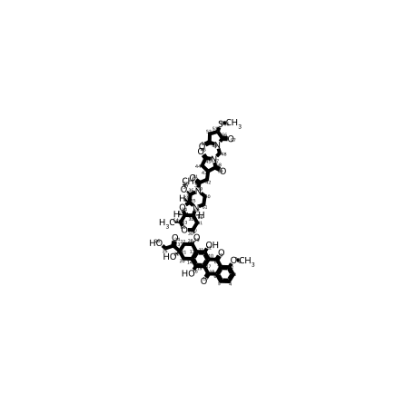 COc1cccc2c1C(=O)c1c(O)c3c(c(O)c1C2=O)C[C@@](O)(C(=O)CO)C[C@@H]3O[C@H]1C[C@H]2[C@H](O[C@@H]3[C@@H](OC)N(C(=O)CC4CC(=O)N(CN5C(=O)CC(SC)C5=O)C4=O)CCN32)[C@H](C)O1